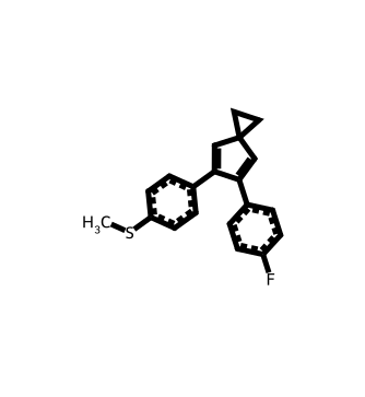 CSc1ccc(C2=CC3(C=C2c2ccc(F)cc2)CC3)cc1